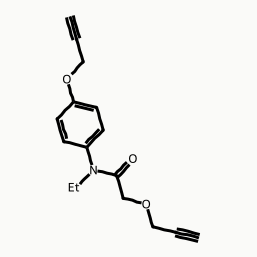 C#CCOCC(=O)N(CC)c1ccc(OCC#C)cc1